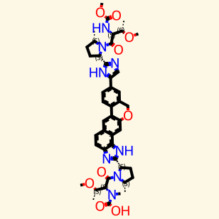 COC(=O)N[C@H](C(=O)N1[C@@H](C)CC[C@H]1c1ncc(-c2ccc3c(c2)COc2cc4c(ccc5nc([C@@H]6CC[C@H](C)N6C(=O)[C@H]([C@H](C)OC)N(C)C(=O)O)[nH]c54)cc2-3)[nH]1)[C@H](C)OC